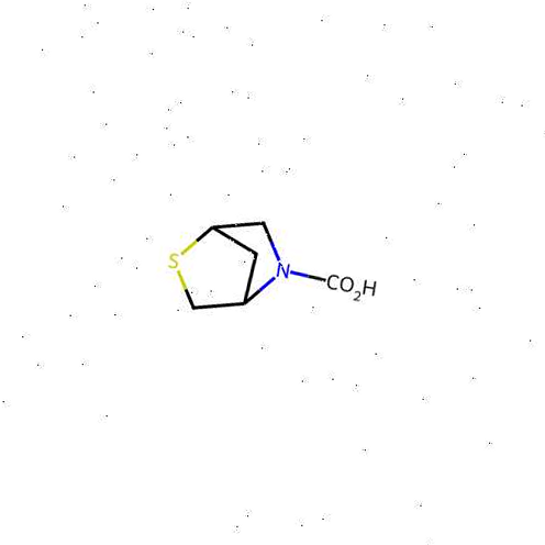 O=C(O)N1CC2CC1CS2